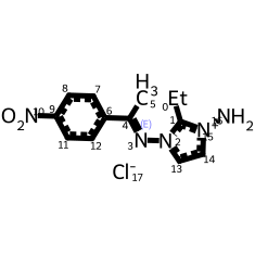 CCc1n(/N=C(\C)c2ccc([N+](=O)[O-])cc2)cc[n+]1N.[Cl-]